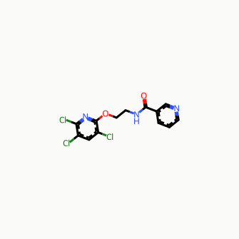 O=C(NCCOc1nc(Cl)c(Cl)cc1Cl)c1cccnc1